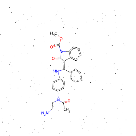 COC(=O)N1C(=O)/C(=C(\Nc2ccc(N(CCN)C(C)=O)cc2)c2ccccc2)c2ccccc21